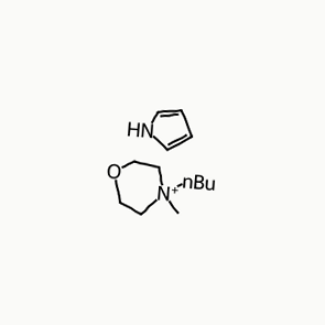 CCCC[N+]1(C)CCOCC1.c1cc[nH]c1